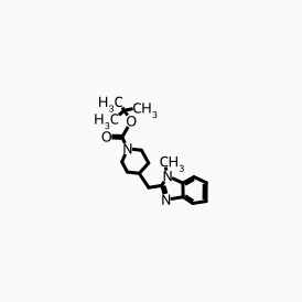 Cn1c(CC2CCN(C(=O)OC(C)(C)C)CC2)nc2ccccc21